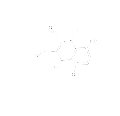 N#CC1=C(C#N)C(=O)c2c(N)ccc(N)c2C1=O